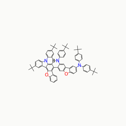 CC(C)(C)c1ccc(N2B3c4cc(C(C)(C)C)ccc4-n4c5ccc(C(C)(C)C)cc5c5c6oc7ccccc7c6c(c3c54)-c3cc4oc5ccc(N(c6ccc(C(C)(C)C)cc6)c6ccc(C(C)(C)C)cc6)cc5c4cc32)cc1